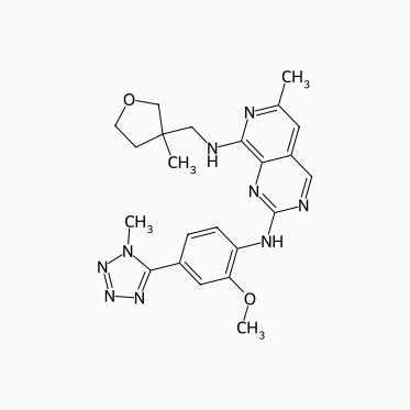 COc1cc(-c2nnnn2C)ccc1Nc1ncc2cc(C)nc(NCC3(C)CCOC3)c2n1